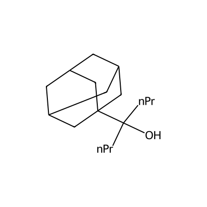 CCCC(O)(CCC)C12CC3CC(CC(C3)C1)C2